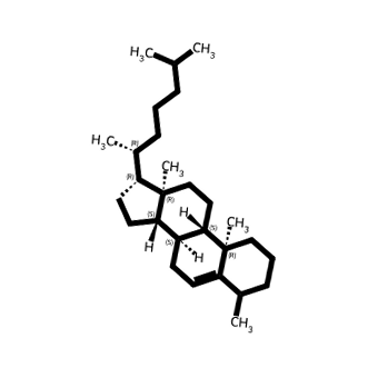 CC(C)CCC[C@@H](C)[C@H]1CC[C@H]2[C@@H]3CC=C4C(C)CCC[C@]4(C)[C@H]3CC[C@]12C